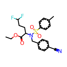 CCOC(=O)C(CCC(F)F)N(Cc1ccc(C#N)cc1)S(=O)(=O)c1ccc(C)cc1